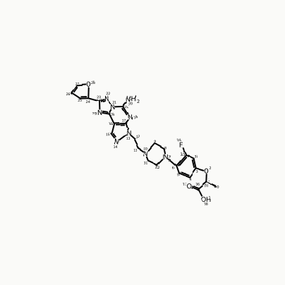 C[C@H](Oc1ccc(N2CCN(CCn3ncc4c3nc(N)n3nc(-c5ccco5)nc43)CC2)c(F)c1)C(=O)O